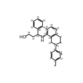 Cc1ccc(N2CCc3ncnc(NC(CCO)c4ccccc4)c3C2)nc1